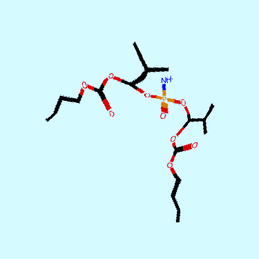 CCCOC(=O)OC(OP([NH])(=O)OC(OC(=O)OCCC)C(C)C)C(C)C